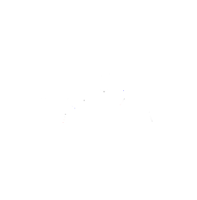 C=CCOC(=O)N1CCC[C@@H]1/C=C(\C)C1=C(C(=O)O)N2C(=O)[C@H]([C@@H](C)O)[C@H]2C1